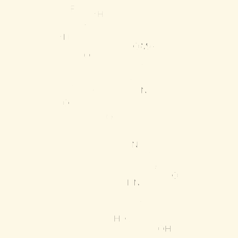 [2H]C([2H])(F)COCC1(COc2nc(C(=O)NC(C)CO)ccc2N2CC(OC)C2)COC1